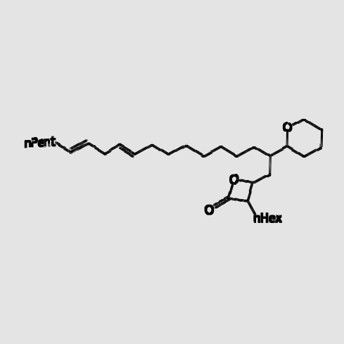 CCCCCC=CCC=CCCCCCCCC(CC1OC(=O)C1CCCCCC)C1CCCCO1